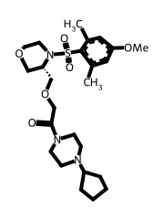 COc1cc(C)c(S(=O)(=O)N2CCOC[C@H]2COCC(=O)N2CCN(C3CCCC3)CC2)c(C)c1